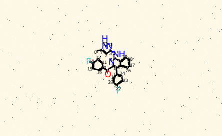 Cc1cc(Nc2nc(C(=O)c3ccc(F)cc3)c(-c3ccc(F)cc3)c3ccccc23)n[nH]1